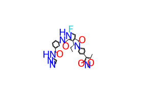 CC[C@H]1c2c(cc(F)nc2C(=O)Nc2cccc(C(=O)Nc3ccn(C)n3)c2)C(=O)N1c1ccc(-c2c(C)on(C)c2=O)cc1